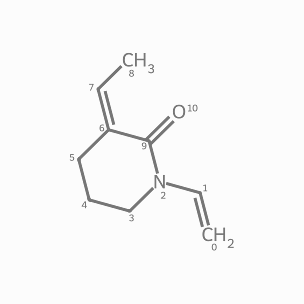 C=CN1CCCC(=CC)C1=O